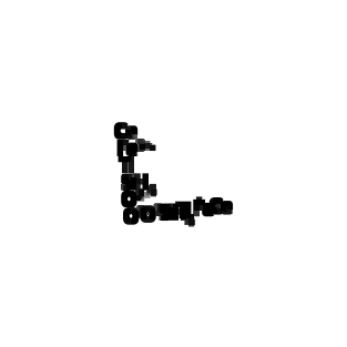 [Ce].[Ce].[Fe+3].[Fe+3].[O-2].[O-2].[O-2].[SiH4].[SiH4].[Ti].[Ti]